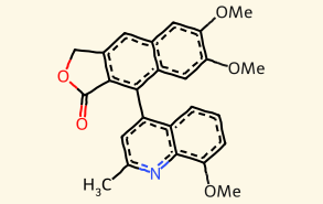 COc1cc2cc3c(c(-c4cc(C)nc5c(OC)cccc45)c2cc1OC)C(=O)OC3